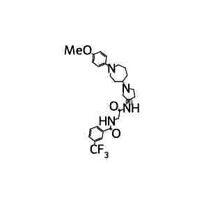 COc1ccc(N2CCCC(N3CC[C@@H](NC(=O)CNC(=O)c4cccc(C(F)(F)F)c4)C3)CC2)cc1